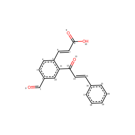 O=Cc1ccc(C=CC(=O)O)c(C(=O)C=Cc2ccccc2)c1